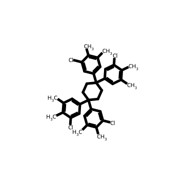 Cc1cc(C2(c3cc(C)c(C)c(Cl)c3)CCC(c3cc(C)c(C)c(Cl)c3)(c3cc(C)c(C)c(Cl)c3)CC2)cc(Cl)c1C